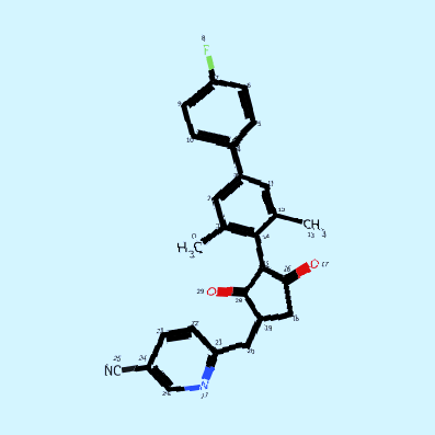 Cc1cc(-c2ccc(F)cc2)cc(C)c1C1C(=O)CC(Cc2ccc(C#N)cn2)C1=O